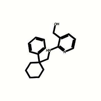 OCc1cccnc1NCC1(c2ccccc2)CCCCC1